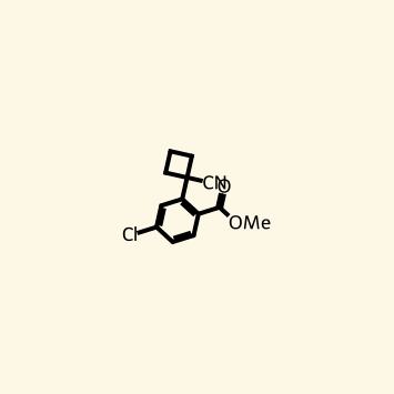 COC(=O)c1ccc(Cl)cc1C1(C#N)CCC1